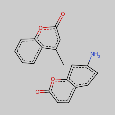 Cc1cc(=O)oc2ccccc12.Nc1ccc2ccc(=O)oc2c1